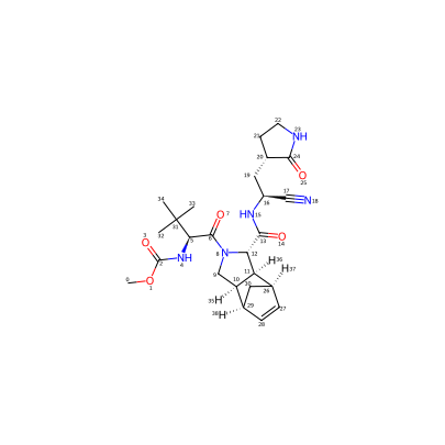 COC(=O)N[C@H](C(=O)N1C[C@H]2[C@@H]([C@H]1C(=O)N[C@H](C#N)C[C@@H]1CCNC1=O)[C@H]1C=C[C@@H]2C1)C(C)(C)C